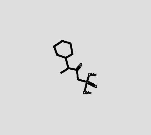 COP(=O)(CC(=O)C(C)C1CCCCC1)OC